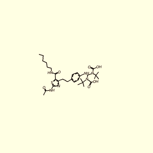 CCCCCCNC(=O)c1sc(NC(C)=O)nc1CCc1ccc(NC(N(C(=O)O)C(C)(C)C)N(C(=O)O)C(C)(C)C)cc1